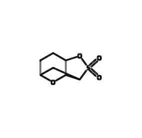 O=S1(=O)OC2CCC3CC1C2O3